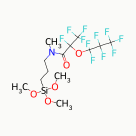 CO[Si](CCCN(C)C(=O)C(F)(OC(F)(F)C(F)(F)C(F)(F)F)C(F)(F)F)(OC)OC